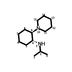 CC(C)N[C@@H]1CCCC[C@H]1N1CCCCC1